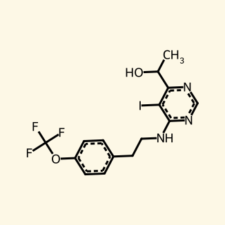 CC(O)c1ncnc(NCCc2ccc(OC(F)(F)F)cc2)c1I